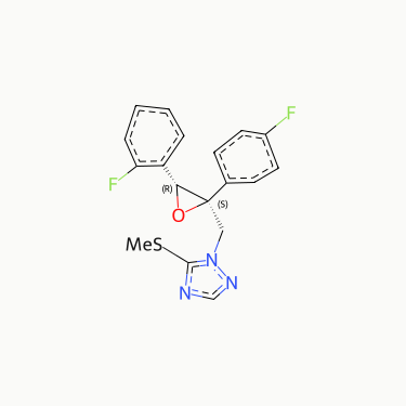 CSc1ncnn1C[C@]1(c2ccc(F)cc2)O[C@@H]1c1ccccc1F